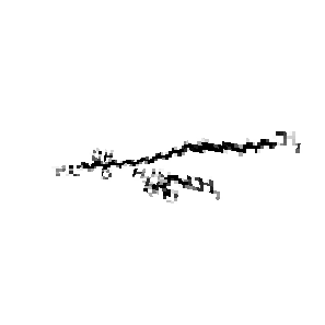 CCCCCCCCC=CCCCCCCCCCCCC(=O)C(O)CCO.CCCN(C)P(=O)=O